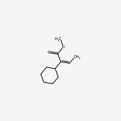 CC=C(C(=O)OC)C1CCCCC1